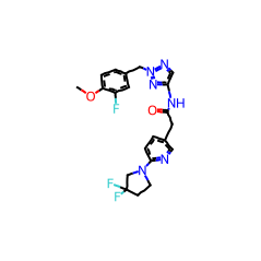 COc1ccc(Cn2ncc(NC(=O)Cc3ccc(N4CCC(F)(F)C4)nc3)n2)cc1F